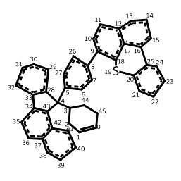 C1=CCC(C2(c3ccc(-c4ccc5cccc6c5c4Sc4ccccc4-6)cc3)c3ccccc3-c3ccc4ccccc4c32)CC1